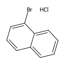 Brc1cccc2ccccc12.Cl